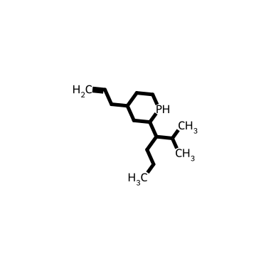 C=CCC1CCPC(C(CCC)C(C)C)C1